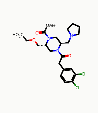 COC(=O)N1C[C@@H](CN2CCCC2)N(C(=O)Cc2ccc(Cl)c(Cl)c2)C[C@@H]1COCC(=O)O